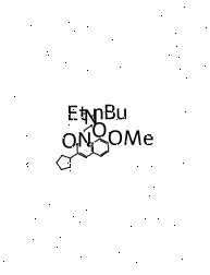 CCCCN(CC)C(=O)Cn1c(=O)c(C2CCCC2)cc2ccc(OC)cc21